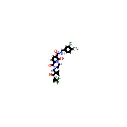 N#Cc1ccc(CNC(=O)c2ccc3n(c2=O)CCN(CC2(C(=O)[C@@H]4CC4(F)F)CC2)C3=O)cc1F